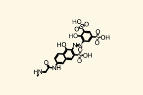 CNCC(=O)Nc1ccc2c(O)c(N=Nc3cc(S(=O)(=O)O)cc(S(=O)(=O)O)c3O)c(S(=O)(=O)O)cc2c1